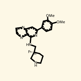 COc1ccc(-c2cc3nccnc3c(NC[C@@]3(F)CCCNC3)n2)cc1OC